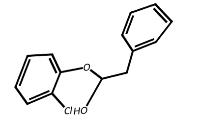 OC(Cc1ccccc1)Oc1ccccc1Cl